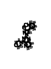 COc1nn(-c2nc(N3CCOCC3)c3ncccc3n2)cc1-c1ccccc1